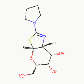 OC[C@H]1O[C@@H]2SC(N3CCCC3)=N[C@@H]2[C@H](O)[C@@H]1O